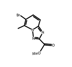 COC(=O)c1nc2ccc(Br)c(C)n2n1